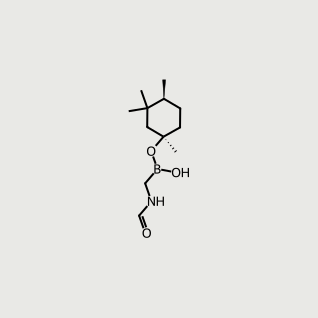 C[C@H]1CC[C@@](C)(OB(O)CNC=O)CC1(C)C